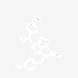 COC[C@H](Cc1ccc(C)cc1)Nc1ncccc1NC(C)c1ccc(C)cc1